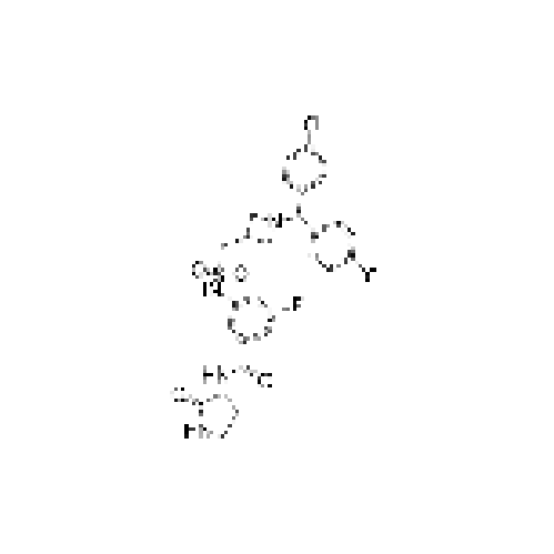 O=C(NC1CCNC1=O)c1cc(F)cc(NS(=O)(=O)CC2CN(C(c3ccc(Cl)cc3)c3ccc(Cl)cc3)C2)c1